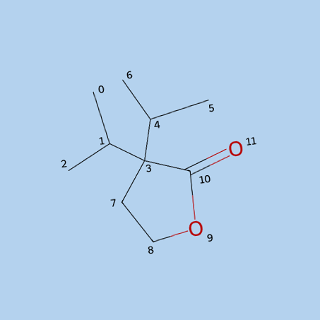 CC(C)C1(C(C)C)CCOC1=O